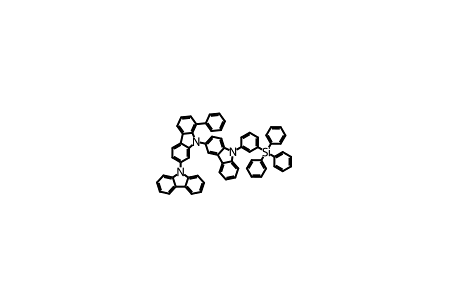 c1ccc(-c2cccc3c4ccc(-n5c6ccccc6c6ccccc65)cc4n(-c4ccc5c(c4)c4ccccc4n5-c4cccc([Si](c5ccccc5)(c5ccccc5)c5ccccc5)c4)c23)cc1